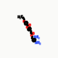 CC#CCOc1ccc(C(=O)Oc2ccc(/C=C/C(=O)OCCc3ccc(N)cc3N)cc2)cc1